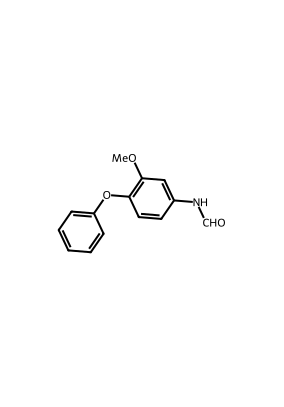 COc1cc(NC=O)ccc1Oc1ccccc1